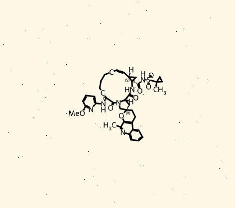 COc1cccc(N[C@H]2CCCCCC=C[C@@H]3C[C@@]3(C(=O)NS(=O)(=O)C3(C)CC3)NC(=O)[C@@H]3C[C@]4(CCc5c(c(C)nc6ccccc56)O4)CN3C2=O)n1